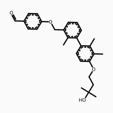 Cc1c(COc2ccc(C=O)cc2)cccc1-c1ccc(OCCC(C)(C)O)c(C)c1C